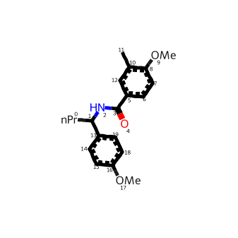 CCCC(NC(=O)c1ccc(OC)c(C)c1)c1ccc(OC)cc1